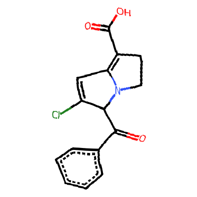 O=C(O)C1=C2C=C(Cl)C(C(=O)c3ccccc3)N2CC1